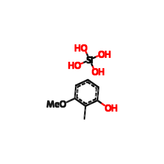 COc1cccc(O)c1C.O[Si](O)(O)O